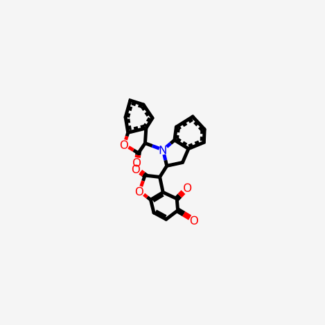 O=C1C=CC2=C(C1=O)C(C1Cc3ccccc3N1C1C(=O)Oc3ccccc31)C(=O)O2